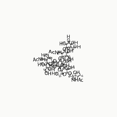 C/C=C/[C@@H](O)[C@H](CO[C@@H]1O[C@H](CO)[C@@H](O[C@@H]2O[C@H](CO)[C@H](O[C@@H]3O[C@H](CO)[C@H](O)[C@H](O[C@@H]4O[C@H](CO)[C@H](O)[C@H](O)[C@H]4O)[C@H]3NC(C)=O)[C@H](O[C@]3(C(=O)O)C[C@H](O)[C@@H](NC(C)=O)[C@H]([C@H](O)[C@H](O)CO)O3)[C@H]2O)[C@H](O)[C@H]1O)NC(C)=O